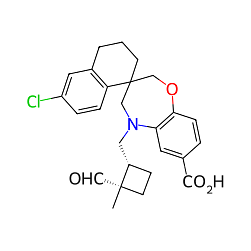 C[C@]1(C=O)CC[C@H]1CN1CC2(CCCc3cc(Cl)ccc32)COc2ccc(C(=O)O)cc21